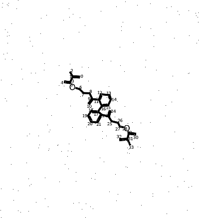 C=C(C)C(=C)OCCCC(=C)c1ccccc1-c1ccccc1C(=C)CCCOC(=C)C(=C)C